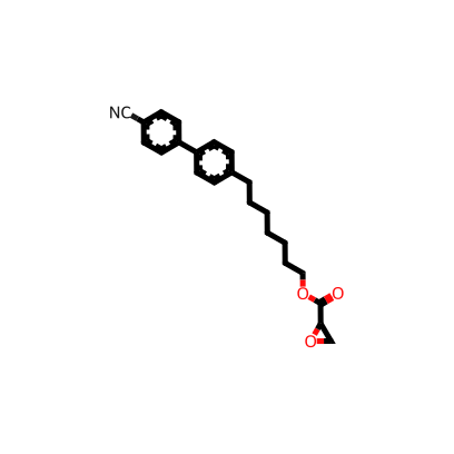 N#Cc1ccc(-c2ccc(CCCCCCCOC(=O)C3CO3)cc2)cc1